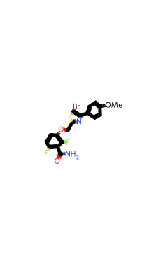 COc1ccc(-c2nc(COc3ccc(F)c(C(N)=O)c3F)sc2Br)cc1